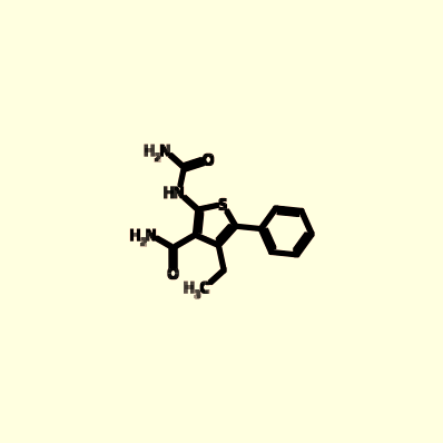 CCc1c(-c2ccccc2)sc(NC(N)=O)c1C(N)=O